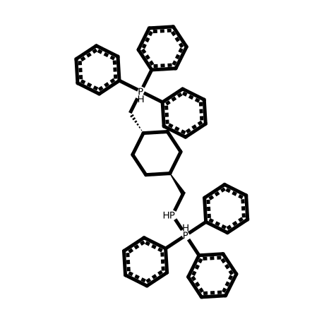 c1ccc([PH](C[C@H]2CC[C@H](CP[PH](c3ccccc3)(c3ccccc3)c3ccccc3)CC2)(c2ccccc2)c2ccccc2)cc1